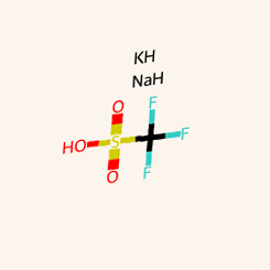 O=S(=O)(O)C(F)(F)F.[KH].[NaH]